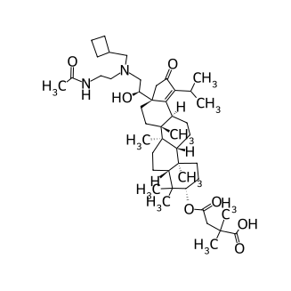 CC(=O)NCCN(CC1CCC1)C[C@H](O)[C@@]12CC[C@]3(C)[C@H](CC[C@@H]4[C@@]5(C)CC[C@H](OC(=O)CC(C)(C)C(=O)O)C(C)(C)[C@@H]5CC[C@]43C)C1=C(C(C)C)C(=O)C2